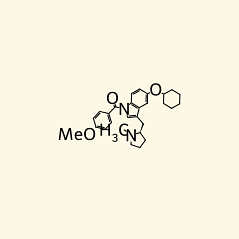 COc1ccc(C(=O)n2cc(C[C@H]3CCCN3C)c3cc(OC4CCCCC4)ccc32)cc1